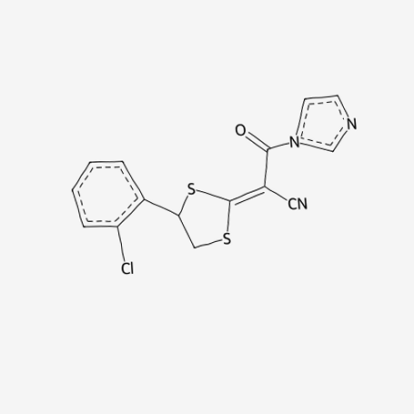 N#CC(C(=O)n1ccnc1)=C1SCC(c2ccccc2Cl)S1